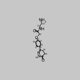 CN1N=C(c2ccc(OCC(=O)NCCN)cc2)CCC1=O